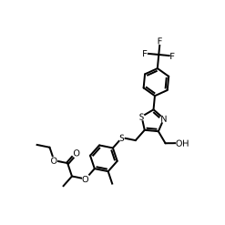 CCOC(=O)C(C)Oc1ccc(SCc2sc(-c3ccc(C(F)(F)F)cc3)nc2CO)cc1C